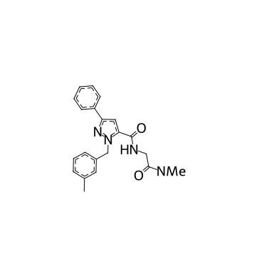 CNC(=O)CNC(=O)c1cc(-c2ccccc2)nn1Cc1cccc(C)c1